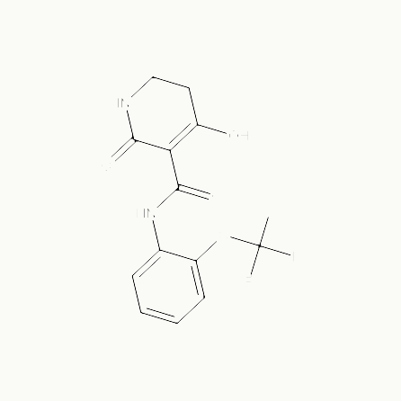 O=C1NCCC(O)=C1C(=S)Nc1ccccc1OC(F)(F)F